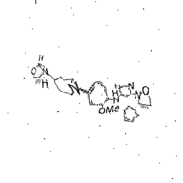 COc1cc(N2CCC(N3C[C@H]4C[C@@H]3CO4)CC2)ccc1Nc1cc(N2OCC[C@@H]2c2ccccc2)ncn1